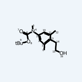 Cc1cc(N(C)C(=O)OC(C)(C)C)cc(C)c1CCO